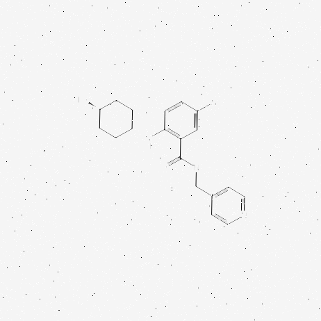 O=C(NCc1ccncc1)c1cc([N+](=O)[O-])ccc1N[C@H]1CC[C@H](O)CC1